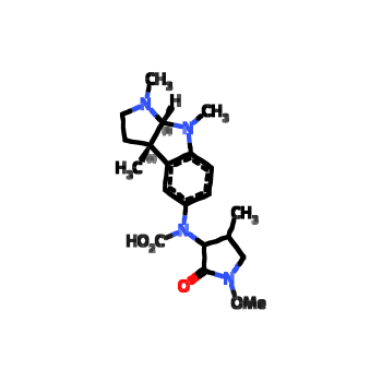 CON1CC(C)C(N(C(=O)O)c2ccc3c(c2)[C@]2(C)CCN(C)[C@@H]2N3C)C1=O